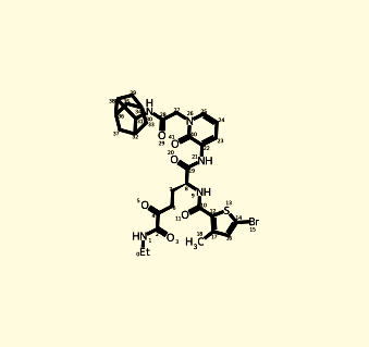 CCNC(=O)C(=O)CC[C@H](NC(=O)c1sc(Br)cc1C)C(=O)Nc1cccn(CC(=O)NC2C3CC4CC(C3)C2C4)c1=O